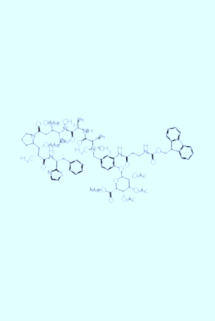 CC[C@H](C)[C@@H]([C@@H](CC(=O)N1CCCC1[C@H](OC)[C@@H](C)C(=O)N[C@@H](Cc1ccccc1)c1nccs1)OC)N(C)C(=O)C(NC(=O)C(C(C)C)[N+](C)(C)Cc1ccc(O[C@@H]2O[C@H](C(=O)OC)[C@@H](OC(C)=O)[C@H](OC(C)=O)[C@H]2OC(C)=O)c(NC(=O)CCNC(=O)OCC2c3ccccc3-c3ccccc32)c1)C(C)C